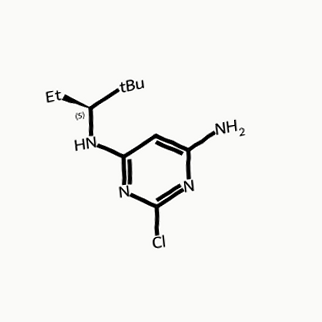 CC[C@H](Nc1cc(N)nc(Cl)n1)C(C)(C)C